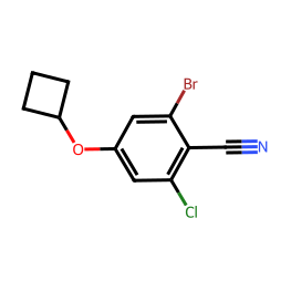 N#Cc1c(Cl)cc(OC2CCC2)cc1Br